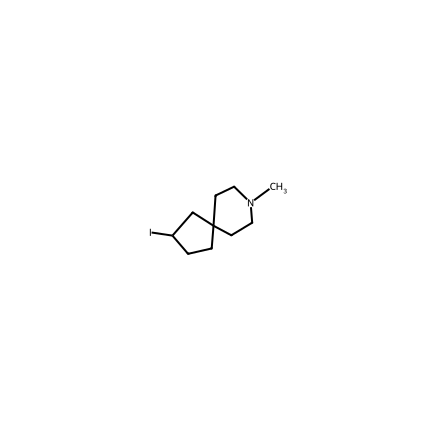 CN1CCC2(CCC(I)C2)CC1